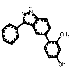 Cc1cc(O)ccc1-c1ccc2[nH]nc(-c3ccccc3)c2c1